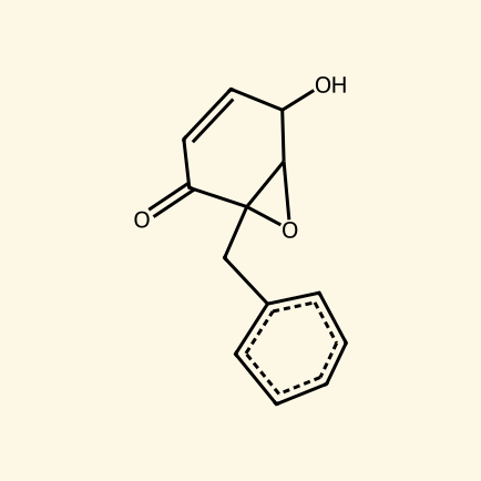 O=C1C=CC(O)C2OC12Cc1ccccc1